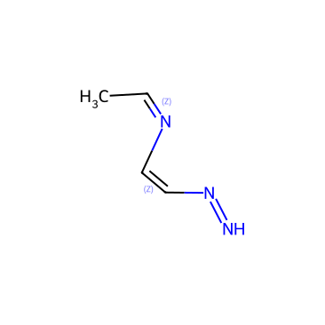 C/C=N\C=C/N=N